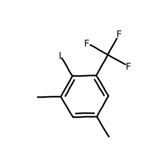 Cc1cc(C)c(I)c(C(F)(F)F)c1